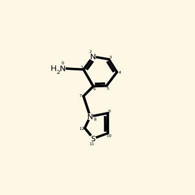 Nc1ncccc1CN1C=CSC1